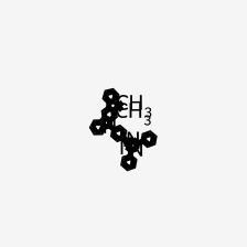 CC1(C)C2=CC3C(C=C2c2ccccc21)c1ccccc1N3c1ccc(-c2nc(-c3ccccc3)nc(-c3ccccc3)n2)cc1